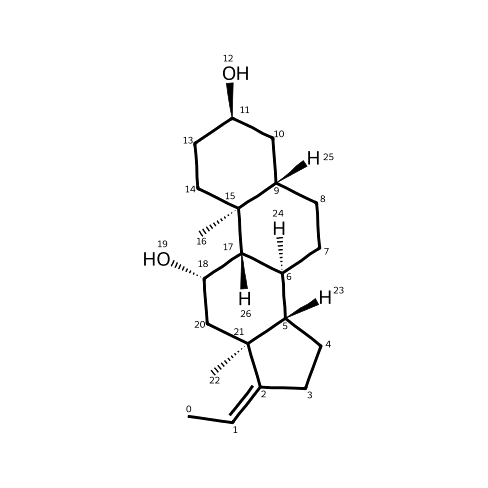 C/C=C1/CC[C@H]2[C@@H]3CC[C@H]4C[C@H](O)CC[C@]4(C)[C@H]3[C@@H](O)C[C@]12C